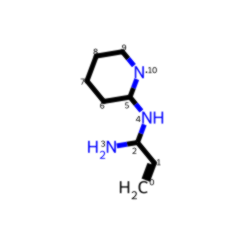 C=CC(N)NC1CCCC[N]1